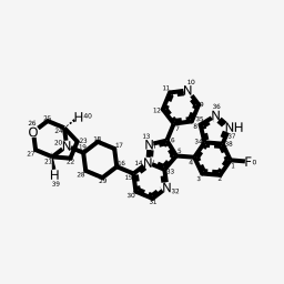 Fc1ccc(-c2c(-c3ccncc3)nn3c(C4CCC(N5[C@@H]6CC[C@@H]5COC6)CC4)ccnc23)c2cn[nH]c12